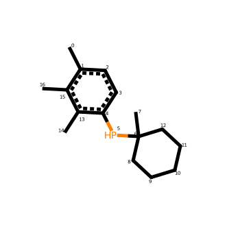 Cc1ccc(PC2(C)CCCCC2)c(C)c1C